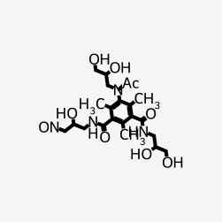 CC(=O)N(CC(O)CO)c1c(C)c(C(=O)NCC(O)CO)c(C)c(C(=O)NCC(O)CN=O)c1C